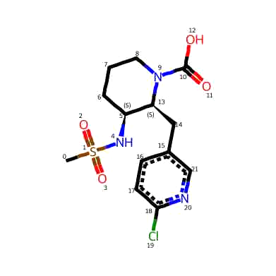 CS(=O)(=O)N[C@H]1CCCN(C(=O)O)[C@H]1Cc1ccc(Cl)nc1